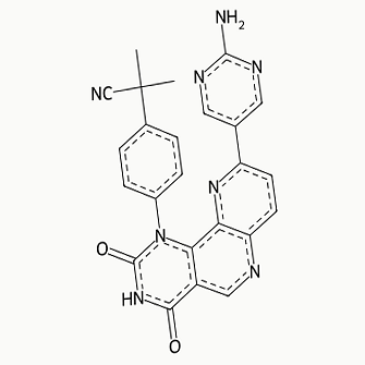 CC(C)(C#N)c1ccc(-n2c(=O)[nH]c(=O)c3cnc4ccc(-c5cnc(N)nc5)nc4c32)cc1